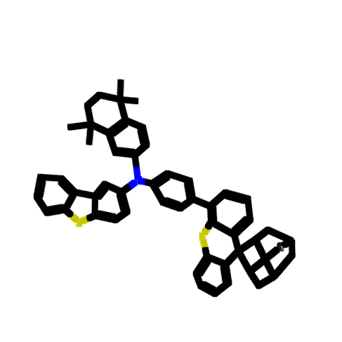 CC1(C)CCC(C)(C)c2cc(N(c3ccc(-c4cccc5c4Sc4ccccc4C54C5CC6CC7CC4C75C6)cc3)c3ccc4sc5ccccc5c4c3)ccc21